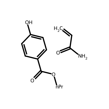 C=CC(N)=O.CCCOC(=O)c1ccc(O)cc1